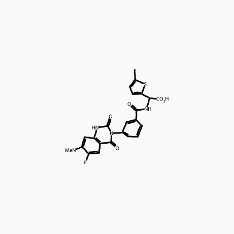 CNc1cc2[nH]c(=O)n(-c3cccc(C(=O)NC(C(=O)O)c4ccc(C)s4)c3)c(=O)c2cc1F